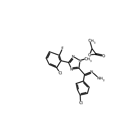 CC1OC1=O.Cn1nc(-c2c(F)cccc2Cl)nc1C(=NN)c1ccc(Cl)cc1